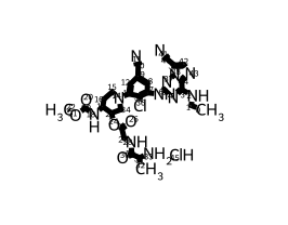 CCNc1nc(Nc2cc(C#N)cc(N3CCC(NC(=O)OC)C(OC(=O)CNC(=O)C(C)N)C3)c2Cl)nn2c(C#N)cnc12.Cl